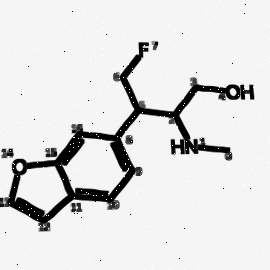 CNC(CO)C(CF)c1ccc2ccoc2c1